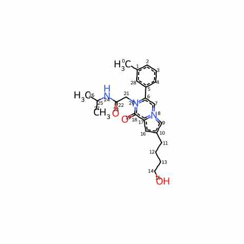 Cc1cccc(-c2cn3cc(CCCCO)cc3c(=O)n2CC(=O)NC(C)C)c1